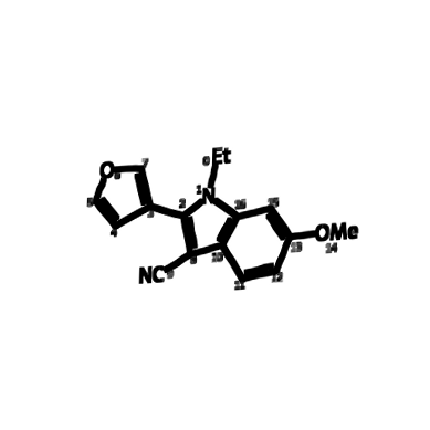 CCn1c(-c2ccoc2)c(C#N)c2ccc(OC)cc21